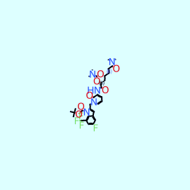 CN(C)C(=O)/C=C/CC[C@H](OC(=O)N(C)C)C(=O)Nc1cccn(Cc2cc3cc(F)cc(C(F)(F)F)c3n2C(=O)OC(C)(C)C)c1=O